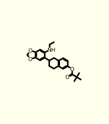 CCNc1cc2c(cc1C1CCc3cc(OC(=O)C(C)(C)C)ccc3C1)OCO2